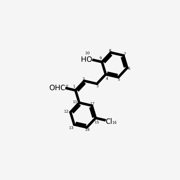 O=CC(=CCc1ccccc1O)c1cccc(Cl)c1